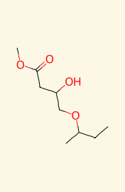 CCC(C)OCC(O)CC(=O)OC